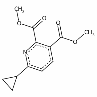 COC(=O)c1ccc(C2CC2)nc1C(=O)OC